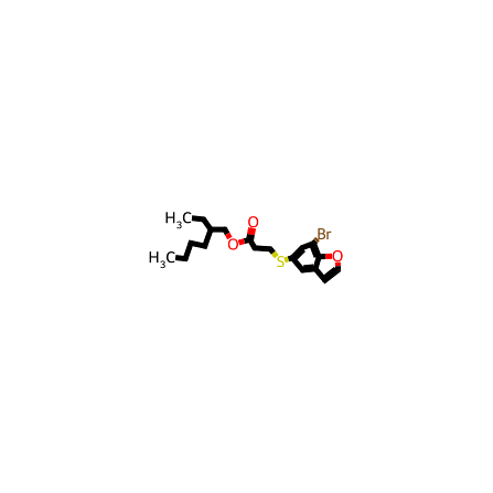 CCCCC(CC)COC(=O)CCSc1cc(Br)c2occc2c1